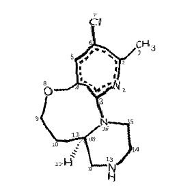 Cc1nc2c(cc1Cl)OCC[C@@H]1CNCCN21